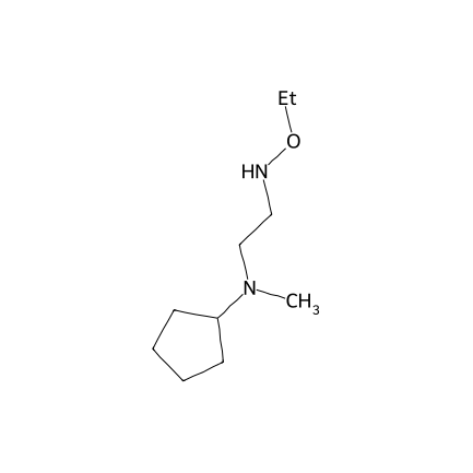 CCONCCN(C)C1CCCC1